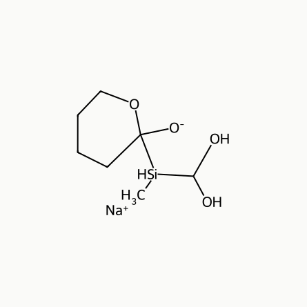 C[SiH](C(O)O)C1([O-])CCCCO1.[Na+]